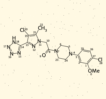 COc1cc(N2CCN(C(=O)Cn3nc(-c4nnn[nH]4)c(Cl)c3C)CC2)ccc1Cl